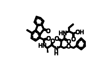 CCC(NC(=O)C(=O)C(COCc1ccccc1)NC(=O)[C@@H](C)NC(=O)c1ccc(C)c2c1C(=O)c1ccccc1-2)C(=O)O